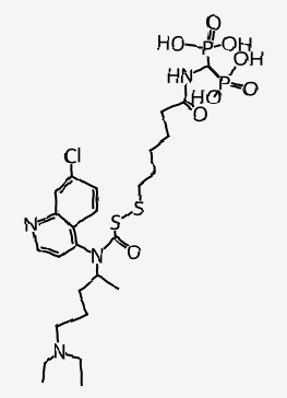 CCN(CC)CCCC(C)N(C(=O)SSCCCCCC(=O)NC(P(=O)(O)O)P(=O)(O)O)c1ccnc2cc(Cl)ccc12